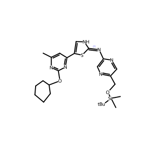 Cc1cc(-c2c[nH]/c(=N/c3cnc(CO[Si](C)(C)C(C)(C)C)cn3)s2)nc(OC2CCCCC2)n1